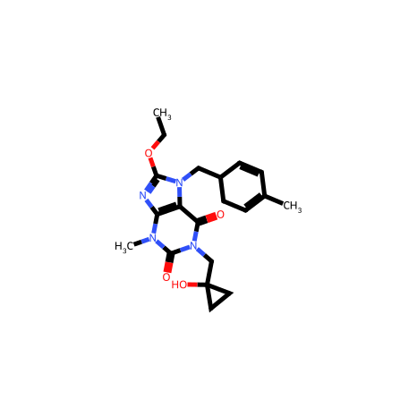 CCOc1nc2c(c(=O)n(CC3(O)CC3)c(=O)n2C)n1CC1C=CC(C)=CC1